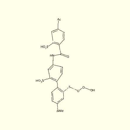 CNc1ccc(-c2ccc(NC(=O)c3ccc(C(C)=O)cc3S(=O)(=O)O)cc2S(=O)(=O)O)c(SOOO)c1